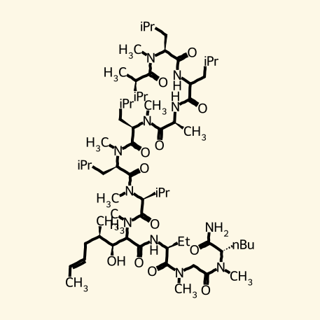 C/C=C/C[C@@H](C)[C@H](O)C(C(=O)N[C@@H](CC)C(=O)N(C)CC(=O)N(C)[C@@H](CCCC)C(N)=O)N(C)C(=O)[C@H](C(C)C)N(C)C(=O)[C@@H](CC(C)C)N(C)C(=O)[C@@H](CC(C)C)N(C)C(=O)[C@H](C)NC(=O)C(CC(C)C)NC(=O)[C@H](CC(C)C)N(C)C(=O)[C@H](C)C(C)C